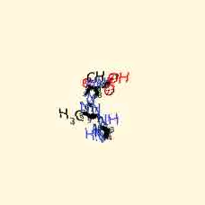 CO[C@H]1CN(c2nc(C)cc(Nc3cc[nH]n3)n2)C[C@H]1NC(=O)O